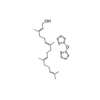 CC(C)=CCCC(C)=CCCC(C)=CCCC(C)=CCO.c1csc(Oc2cccs2)c1